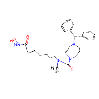 CN(CCCCCCC(=O)NO)C(=O)N1CCN(C(c2ccccc2)c2ccccc2)CC1